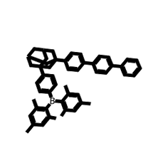 Cc1cc(C)c(B(c2ccc(C34CC5CC(C3)CC(c3ccc(-c6ccc(-c7ccccc7)cc6)cc3)(C5)C4)cc2)c2c(C)cc(C)cc2C)c(C)c1